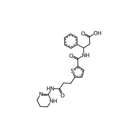 O=C(O)CC(NC(=O)c1ccc(CCC(=O)NC2=NCCCN2)s1)c1ccccc1